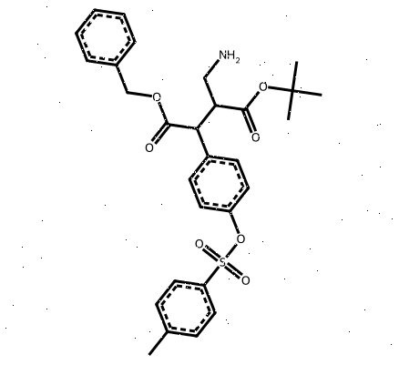 Cc1ccc(S(=O)(=O)Oc2ccc(C(C(=O)OCc3ccccc3)C(CN)C(=O)OC(C)(C)C)cc2)cc1